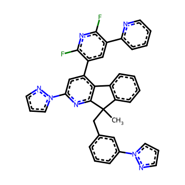 CC1(Cc2cccc(-n3cccn3)c2)c2ccccc2-c2c(-c3cc(-c4ccccn4)c(F)nc3F)cc(-n3cccn3)nc21